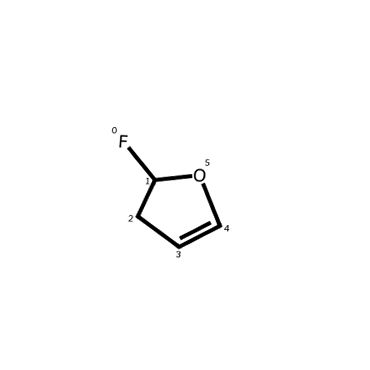 F[C]1CC=CO1